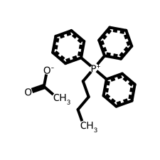 CC(=O)[O-].CCCC[P+](c1ccccc1)(c1ccccc1)c1ccccc1